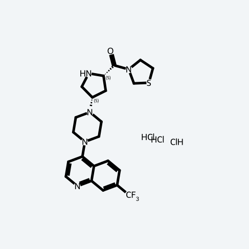 Cl.Cl.Cl.O=C([C@@H]1C[C@H](N2CCN(c3ccnc4cc(C(F)(F)F)ccc34)CC2)CN1)N1CCSC1